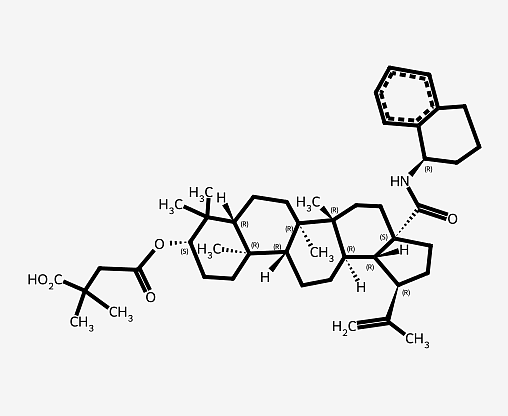 C=C(C)[C@@H]1CC[C@]2(C(=O)N[C@@H]3CCCc4ccccc43)CC[C@]3(C)[C@H](CC[C@@H]4[C@@]5(C)CC[C@H](OC(=O)CC(C)(C)C(=O)O)C(C)(C)[C@@H]5CC[C@]43C)[C@@H]12